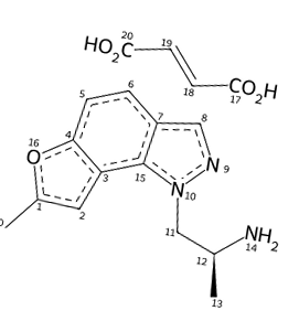 Cc1cc2c(ccc3cnn(C[C@H](C)N)c32)o1.O=C(O)C=CC(=O)O